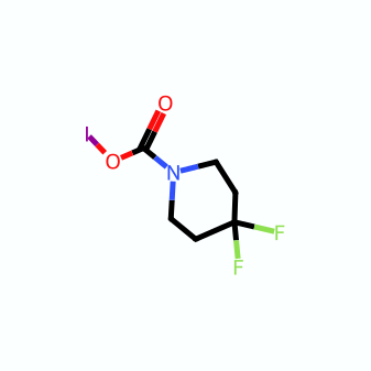 O=C(OI)N1CCC(F)(F)CC1